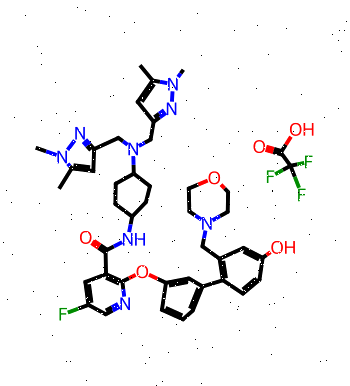 Cc1cc(CN(Cc2cc(C)n(C)n2)C2CCC(NC(=O)c3cc(F)cnc3Oc3cccc(-c4ccc(O)cc4CN4CCOCC4)c3)CC2)nn1C.O=C(O)C(F)(F)F